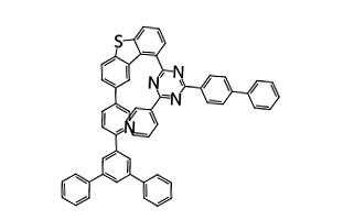 c1ccc(-c2ccc(-c3nc(-c4ccccc4)nc(-c4cccc5sc6ccc(-c7ccc(-c8cc(-c9ccccc9)cc(-c9ccccc9)c8)nc7)cc6c45)n3)cc2)cc1